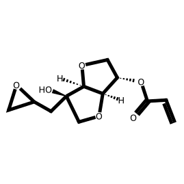 C=CC(=O)O[C@H]1CO[C@H]2[C@@H]1OC[C@]2(O)CC1CO1